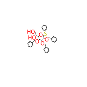 OC[C@@H](O)[C@H]1O[C@H](Sc2ccccc2)[C@@H](OCc2ccccc2)[C@@H](OCc2ccccc2)[C@@H]1OCc1ccccc1